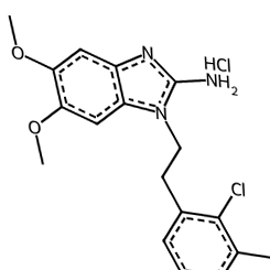 COc1cc2nc(N)n(CCc3cccc(I)c3Cl)c2cc1OC.Cl